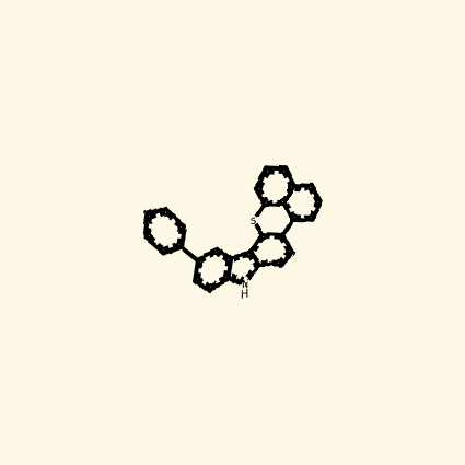 c1ccc(-c2ccc3[nH]c4ccc5c(c4c3c2)Sc2cccc3cccc-5c23)cc1